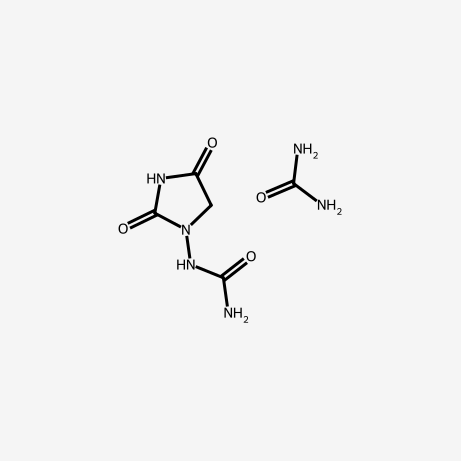 NC(=O)NN1CC(=O)NC1=O.NC(N)=O